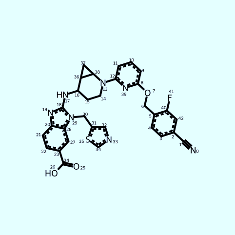 N#Cc1ccc(COc2cccc(N3CCC(Nc4nc5ccc(C(=O)O)cc5n4Cc4cncs4)C4CC43)n2)c(F)c1